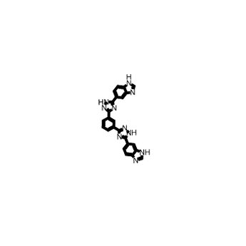 c1cc(-c2n[nH]c(-c3ccc4[nH]cnc4c3)n2)cc(-c2n[nH]c(-c3ccc4nc[nH]c4c3)n2)c1